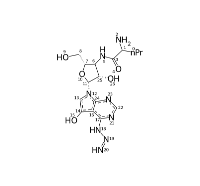 CCCC(N)C(=O)NC1[C@@H](CO)O[C@@H](n2cc(O)c3c(NN=N)ncnc32)[C@H]1O